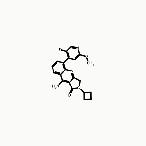 COc1cc(-c2cccc3c(N)c4c(nc23)CN(C2CCC2)C4=O)c(F)cn1